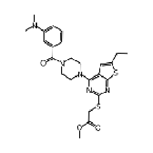 CCc1cc2c(N3CCN(C(=O)c4cccc(N(C)C)c4)CC3)nc(SCC(=O)OC)nc2s1